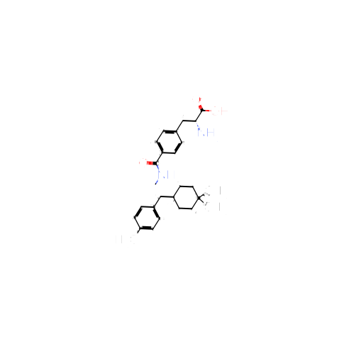 Cc1ccc([C@H](CNC(=O)c2ccc(C[C@H](N)C(=O)O)cc2)C2CCC(C)(C)CC2)cc1